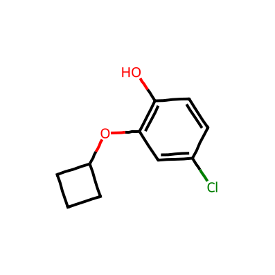 Oc1ccc(Cl)cc1OC1CCC1